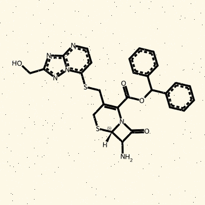 NC1C(=O)N2C(C(=O)OC(c3ccccc3)c3ccccc3)=C(CSc3ccnc4nc(CO)nn34)CS[C@@H]12